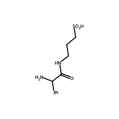 CC(C)C(N)C(=O)NCCCS(=O)(=O)O